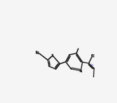 C/C=C(/Cl)c1ncc(-c2ccc(CC)s2)cc1C